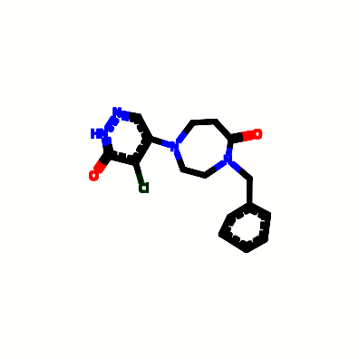 O=C1CCN(c2cn[nH]c(=O)c2Cl)CCN1Cc1ccccc1